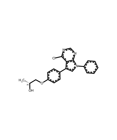 C[C@@H](O)COc1ccc(-c2cn(-c3ccccc3)c3ncnc(Cl)c23)cc1